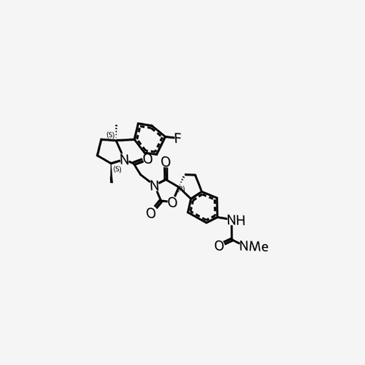 CNC(=O)Nc1ccc2c(c1)CC[C@@]21OC(=O)N(CC(=O)N2[C@@H](C)CC[C@@]2(C)c2ccc(F)cc2)C1=O